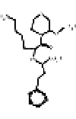 NCCCC[C@H](NC(CCc1ccccc1)C(=O)O)C(=O)N1CCSCC1OC(=O)O